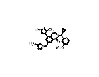 CCn1cc(-c2cc(Cn3cnc(C)c3)cc3c2CCN([C@H](c2cc(OC)ccn2)C2CC2)C3=O)c(C(F)(F)F)n1